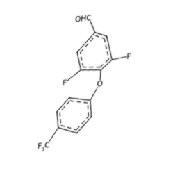 O=Cc1cc(F)c(Oc2ccc(C(F)(F)F)cc2)c(F)c1